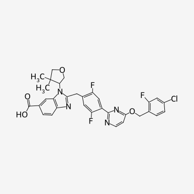 CC1(C)COCC1n1c(Cc2cc(F)c(-c3nccc(OCc4ccc(Cl)cc4F)n3)cc2F)nc2ccc(C(=O)O)cc21